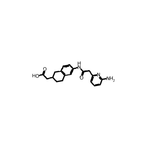 Nc1cccc(CC(=O)Nc2ccc3c(c2)CCC(CC(=O)O)C3)n1